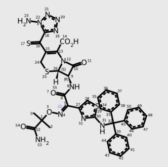 CC(C)(O/N=C(\C(=O)N[C@@H]1C(=O)N2C(C(=O)O)=C(C(=S)c3nnnn3N)CS[C@@H]12)c1csc(NC(c2ccccc2)(c2ccccc2)c2ccccc2)n1)C(N)=O